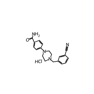 Cl.N#Cc1cccc(CN2CCN(c3ccc(C(N)=O)cc3)CC2)c1